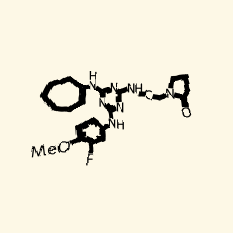 COc1ccc(Nc2nc(NCCCN3CCCC3=O)nc(NC3CCCCCC3)n2)cc1F